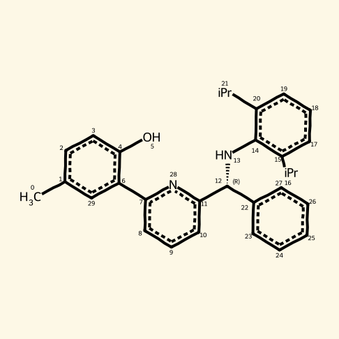 Cc1ccc(O)c(-c2cccc([C@H](Nc3c(C(C)C)cccc3C(C)C)c3ccccc3)n2)c1